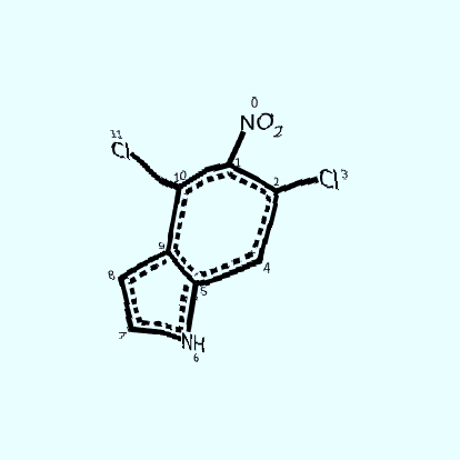 O=[N+]([O-])c1c(Cl)cc2[nH]c[c]c2c1Cl